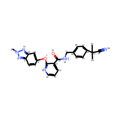 Cn1nc2ccc(Oc3ncccc3C(=O)NCc3ccc(C(C)(C)C#N)cc3)cc2n1